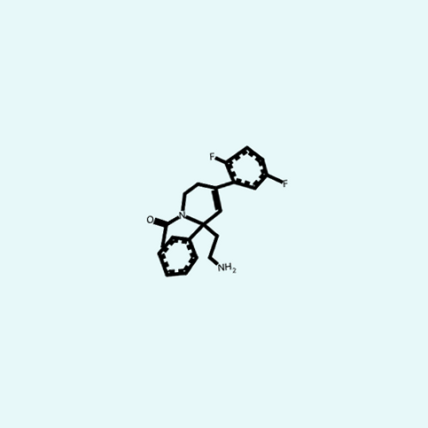 CC(=O)N1CCC(c2cc(F)ccc2F)=CC1(CCN)c1ccccc1